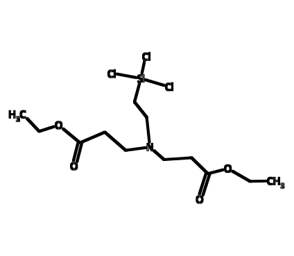 CCOC(=O)CCN(CCC(=O)OCC)CC[Si](Cl)(Cl)Cl